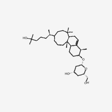 C[C@H](CCCC(C)(C)O)C1CCC[C@@]2(C)C3CC[C@H](O[C@H]4C[C@@H](O)C[C@@H](CO)O4)[C@H](C)C3=CCC2C(C)(C)CC1